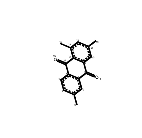 Cc1ccc2c(c1)C(=O)c1cc(C)cc(C)c1C2=O